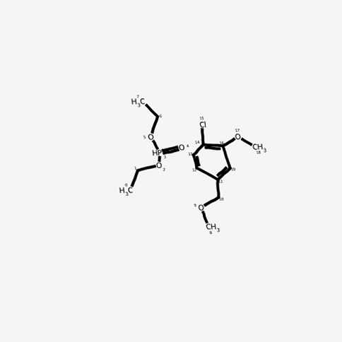 CCO[PH](=O)OCC.COCc1ccc(Cl)c(OC)c1